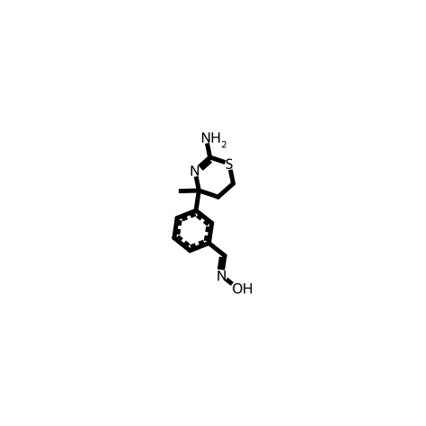 CC1(c2cccc(/C=N/O)c2)CCSC(N)=N1